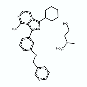 CN(CCO)C(=O)O.Nc1nccn2c(C3CCCCC3)nc(-c3cccc(OCc4ccccc4)c3)c12